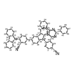 N#Cc1ccc(-n2c3ccccc3c3cc(-c4ccc(-n5c6ccccc6c6ccccc65)c(C#N)c4)ccc32)c(-c2nc(-c3ccccc3)nc(-c3ccccc3)n2)c1